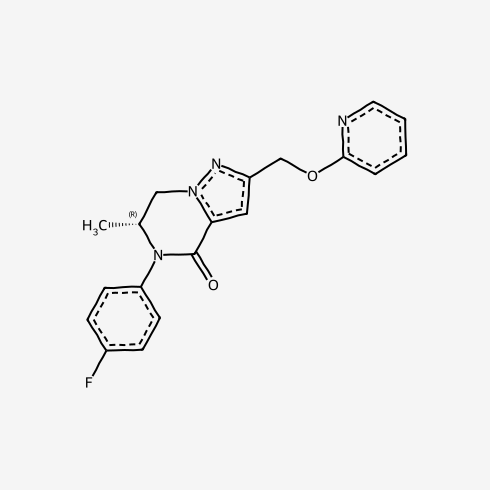 C[C@@H]1Cn2nc(COc3ccccn3)cc2C(=O)N1c1ccc(F)cc1